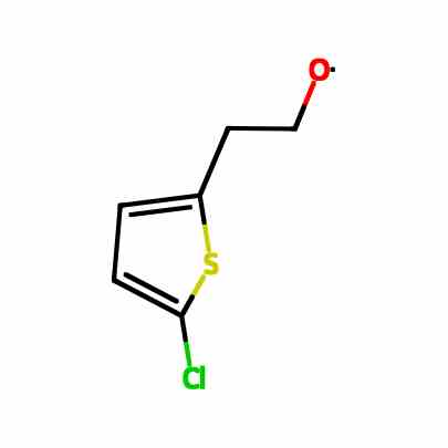 [O]CCc1ccc(Cl)s1